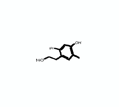 Cc1cc(CCO)c(C(C)C)cc1O